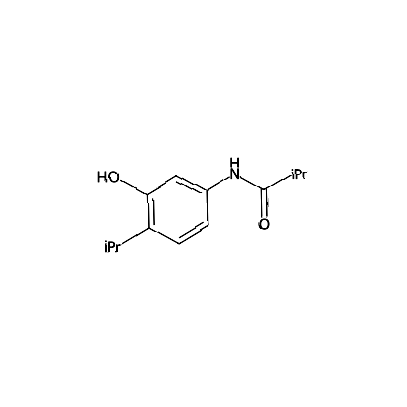 CC(C)C(=O)Nc1ccc(C(C)C)c(O)c1